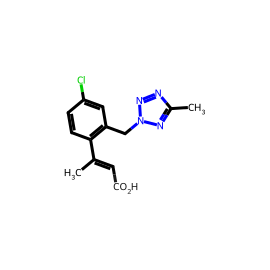 CC(=CC(=O)O)c1ccc(Cl)cc1Cn1nnc(C)n1